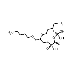 CCCCCOC[C@H](COP(=O)(O)C(=O)OP(=O)(O)O)OCCCCC